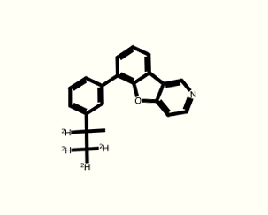 [2H]C([2H])([2H])C([2H])(C)c1cccc(-c2cccc3c2oc2ccncc23)c1